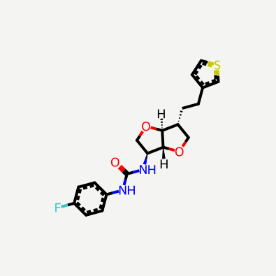 O=C(Nc1ccc(F)cc1)N[C@H]1CO[C@H]2[C@H](CCc3ccsc3)CO[C@@H]21